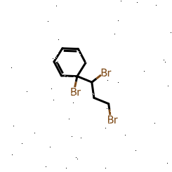 BrCCC(Br)C1(Br)C=CC=CC1